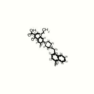 CCn1cc(C(=O)O)c(=O)c2cc(F)c(N3CCN(Cc4ccc(F)c5ccccc45)CC3)cc21